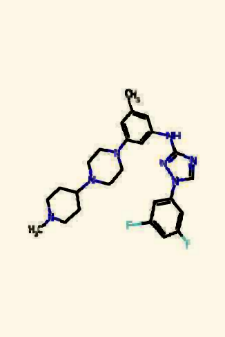 Cc1cc(Nc2ncn(-c3cc(F)cc(F)c3)n2)cc(N2CCN(C3CCN(C)CC3)CC2)c1